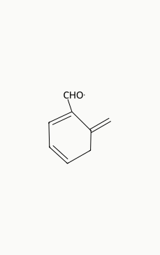 C=C1CC=CC=C1[C]=O